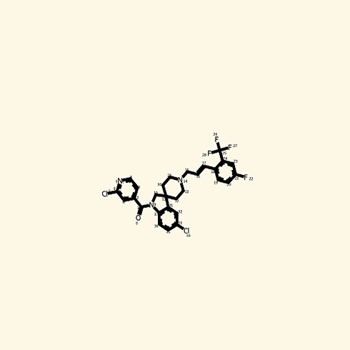 O=C(c1ccnc(Cl)c1)N1CC2(CCN(C/C=C/c3ccc(F)cc3C(F)(F)F)CC2)c2cc(Cl)ccc21